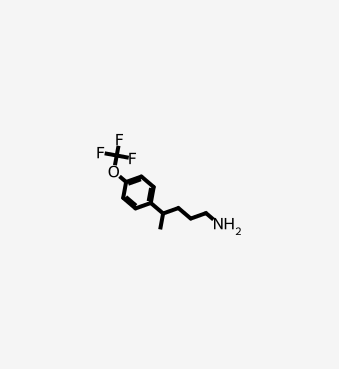 CC(CCCN)c1ccc(OC(F)(F)F)cc1